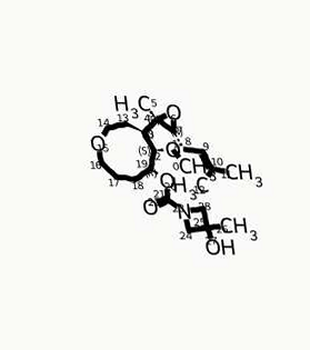 CO[C@H]1[C@H]([C@@]2(C)O[C@@H]2CC=C(C)C)CCOCCC[C@H]1OC(=O)N1CC(C)(O)C1